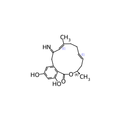 C/C1=C\C(=N)Cc2cc(O)cc(O)c2C(=O)O[C@H](C)C/C=C/CC1